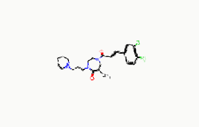 CC1CN(C(=O)/C=C/c2ccc(Cl)c(Cl)c2)CCN(CCCN2CCCCC2)C1=O